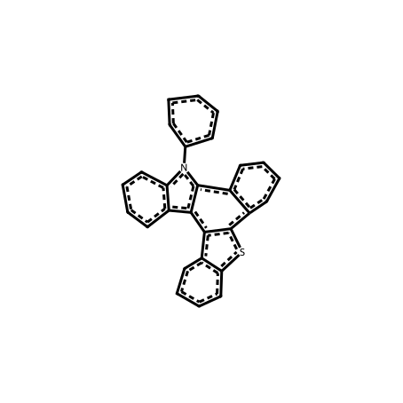 c1ccc(-n2c3ccccc3c3c4c5ccccc5sc4c4ccccc4c32)cc1